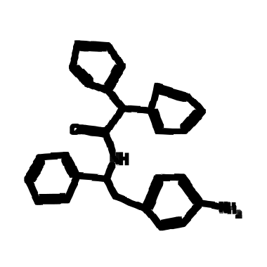 Nc1ccc(CC(NC(=O)C(c2ccccc2)c2ccccc2)c2ccccc2)cc1